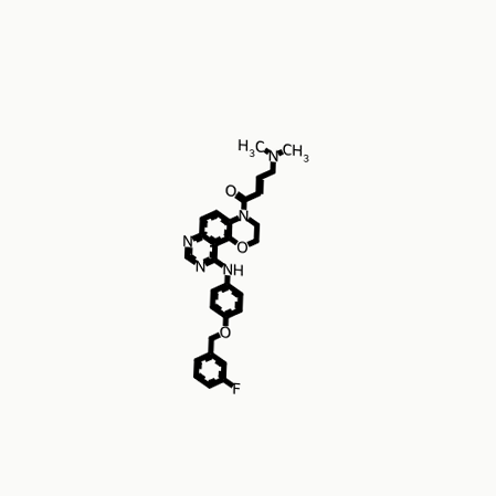 CN(C)C/C=C/C(=O)N1CCOc2c1ccc1ncnc(Nc3ccc(OCc4cccc(F)c4)cc3)c21